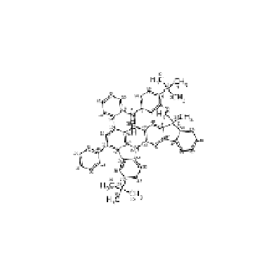 CC(C)(C)c1ccc(Nc2ccccc2-c2cc(-c3ccccc3)c3c4cc(C(C)(C)C)ccc4n4c3c2Bc2cc3c(cc2-4)-c2ccccc2C3(C)C)cc1